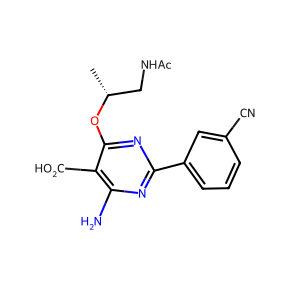 CC(=O)NC[C@@H](C)Oc1nc(-c2cccc(C#N)c2)nc(N)c1C(=O)O